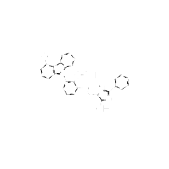 COc1c(OCc2nc(-c3ccccc3)oc2C)cccc1-n1c2ccccc2c2c(O)cccc21